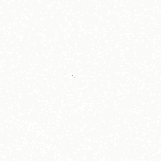 CC(=O)c1ccc(Oc2nnc(Cl)cc2O)c(C)c1